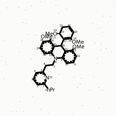 CCCc1cccc(CCN2c3cccc(OC)c3C(C3=C(OC)C=CC[C@@H]3OC)c3c(OC)cccc32)n1